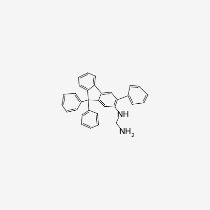 NCNc1cc2c(cc1-c1ccccc1)-c1ccccc1C2(c1ccccc1)c1ccccc1